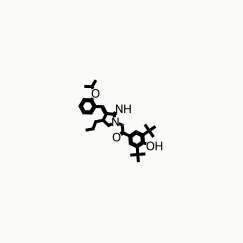 CCCC1CN(CC(=O)c2cc(C(C)(C)C)c(O)c(C(C)(C)C)c2)C(=N)/C1=C/c1ccccc1OC(C)C